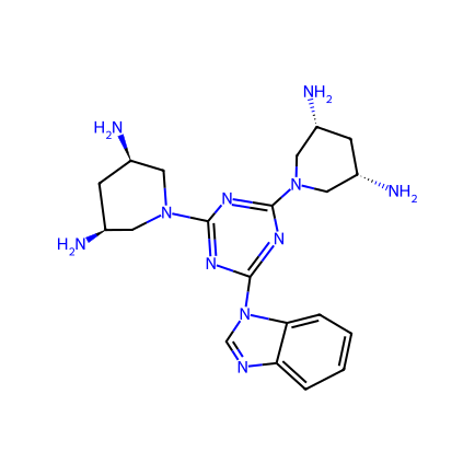 N[C@@H]1C[C@H](N)CN(c2nc(N3C[C@H](N)C[C@H](N)C3)nc(-n3cnc4ccccc43)n2)C1